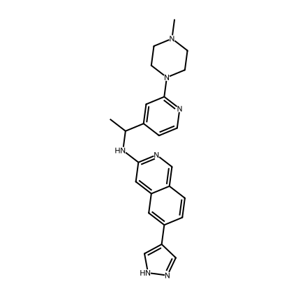 CC(Nc1cc2cc(-c3cn[nH]c3)ccc2cn1)c1ccnc(N2CCN(C)CC2)c1